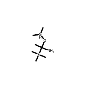 C[SiH](C)OC(C)(N)[Si](C)(C)C